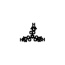 CC1(C)CC(OC(=O)c2cc(C(=O)OC3CC(C)(C)NC(C)(C)C3)cc(C(O)OC3CC(C)(C)NC(C)(C)C3)c2)CC(C)(C)N1